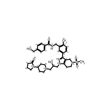 CS(=O)(=O)N1CCc2c(c(-c3ccc(C(F)(F)F)c(CNC(=O)c4ccc(CO)cc4)c3)nn2CC(O)CN2CCC(N3CCCC3=O)CC2)C1